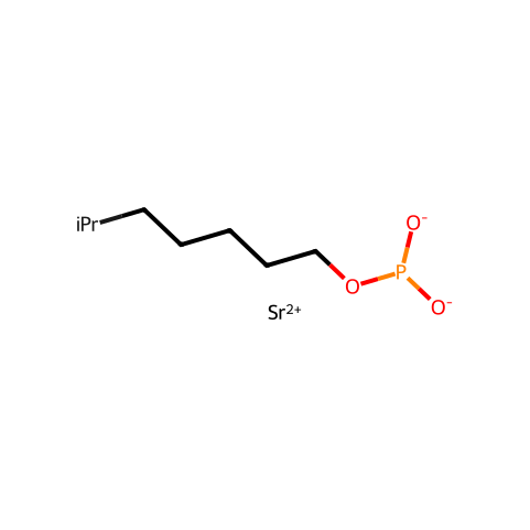 CC(C)CCCCCOP([O-])[O-].[Sr+2]